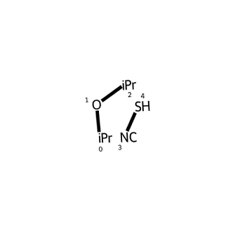 CC(C)OC(C)C.N#CS